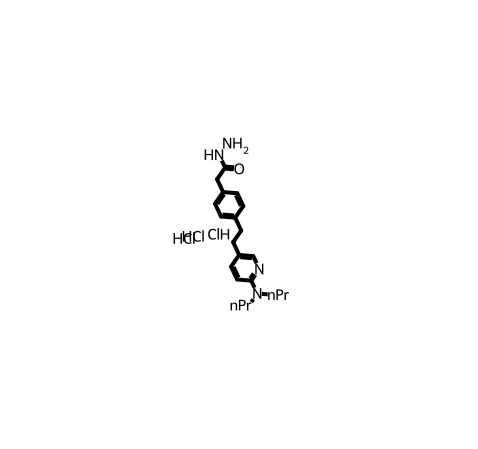 CCCN(CCC)c1ccc(CCc2ccc(CC(=O)NN)cc2)cn1.Cl.Cl.Cl